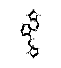 C(=N/c1ccccc1/N=C/c1ccco1)/c1ccco1